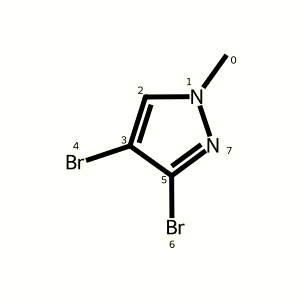 Cn1cc(Br)c(Br)n1